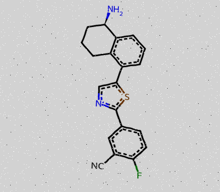 N#Cc1cc(-c2ncc(-c3cccc4c3CCC[C@H]4N)s2)ccc1F